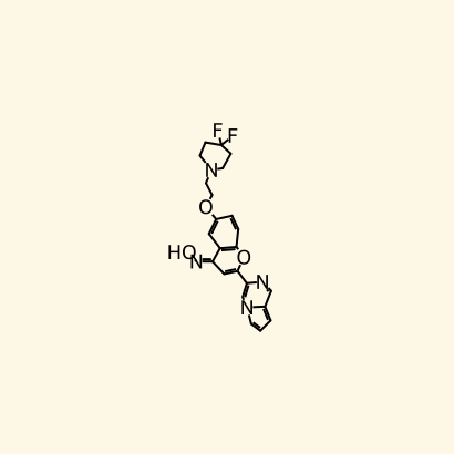 O/N=c1/cc(-c2cn3cccc3cn2)oc2ccc(OCCN3CCC(F)(F)CC3)cc12